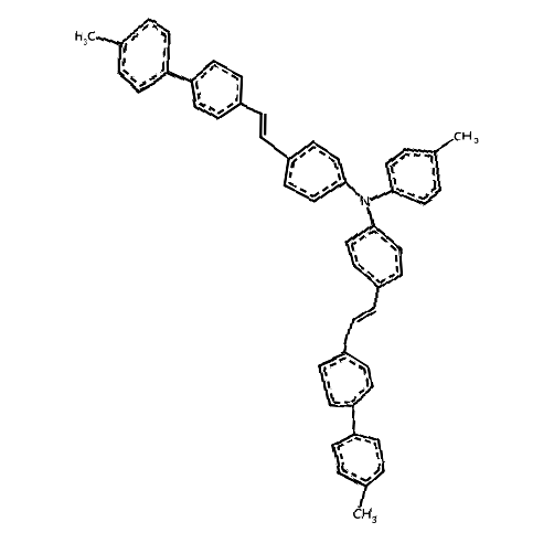 Cc1ccc(-c2ccc(C=Cc3ccc(N(c4ccc(C)cc4)c4ccc(C=Cc5ccc(-c6ccc(C)cc6)cc5)cc4)cc3)cc2)cc1